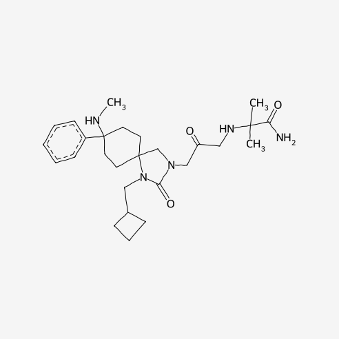 CNC1(c2ccccc2)CCC2(CC1)CN(CC(=O)CNC(C)(C)C(N)=O)C(=O)N2CC1CCC1